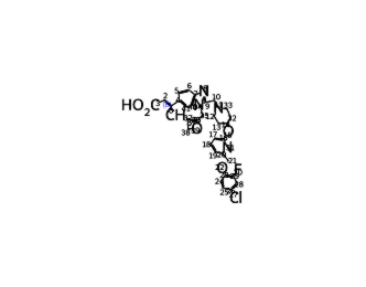 C/C(=C\C(=O)O)c1ccc2nc(CN3CCC(Oc4cccc(COc5ccc(Cl)cc5F)n4)CC3)n(C[C@@H]3CCO3)c2c1